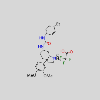 CCc1ccc(NC(=O)NC2CCC3(c4ccc(OC)c(OC)c4)CCN(C)C3C2)cc1.O=C(O)C(F)(F)F